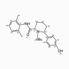 CCCCN1C(C(=O)Nc2c(C)cccc2C)CCCC1c1ccc(O)cc1